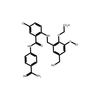 CCOc1cc(CO)cc(CNc2ccc(Cl)cc2C(=O)Nc2ccc(C(=N)N)cc2)c1OCC(=O)O